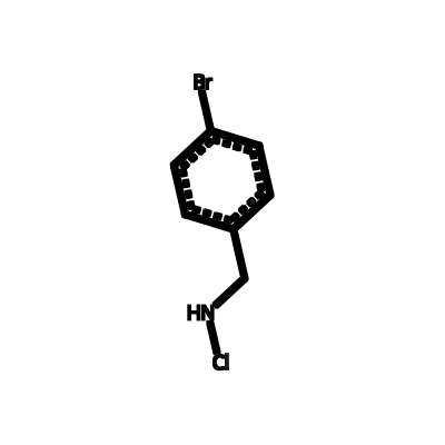 ClNCc1ccc(Br)cc1